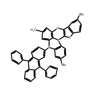 Cc1cc2c3c(c1)N(c1ccc4c(-c5ccccc5)c5ccccc5c(-c5ccccc5)c4c1)c1cc(C(C)(C)C)ccc1B3c1sc3ccc(C(C)(C)C)cc3c1O2